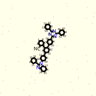 N#Cc1ccccc1-c1cc(-c2ccc(-n3c(-c4ccccc4)nc4ccccc43)cc2)ccc1-c1ccc(-c2nc(-c3ccccc3)nc(-c3ccccc3)n2)cc1